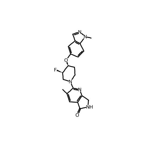 Cc1cc2c(nc1N1CC[C@H](Oc3ccc4c(cnn4C)c3)[C@H](F)C1)CNC2=O